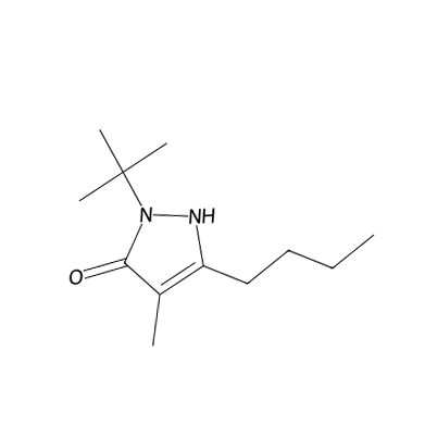 CCCCc1[nH]n(C(C)(C)C)c(=O)c1C